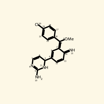 CO/C(=C1/C=C(C2C=CN=C(N)N2)C=CC1=N)c1ccc(Cl)cc1